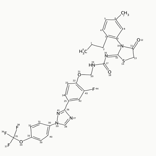 CCCc1ccc(C)cc1N1C(=O)CS/C1=N\C(=O)NCOc1ccc(-c2ncn(-c3ccc(OC(F)(F)F)cc3)n2)cc1F